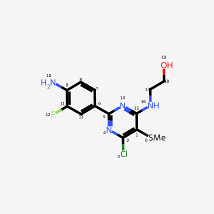 CSc1c(Cl)nc(-c2ccc(N)c(F)c2)nc1NCCO